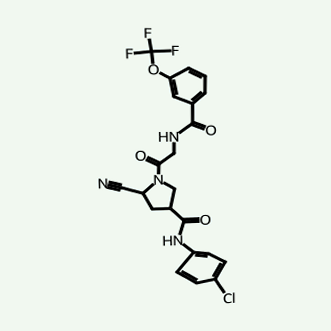 N#CC1CC(C(=O)Nc2ccc(Cl)cc2)CN1C(=O)CNC(=O)c1cccc(OC(F)(F)F)c1